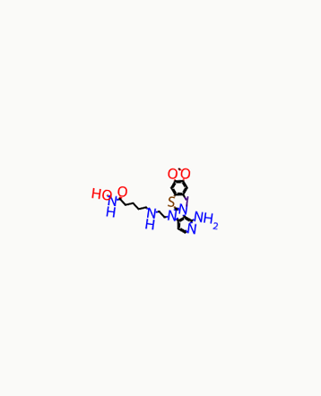 Nc1nccc2c1nc(Sc1cc3c(cc1I)OCO3)n2CCNCCCCC(=O)NO